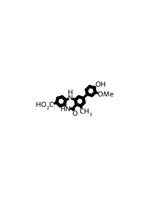 COc1cc(-c2cc(C)c3c(c2)Nc2ccc(C(=O)O)cc2NC3=O)ccc1O